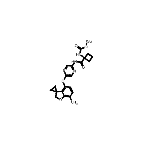 Cc1ccc(Oc2cnc(NC(=O)C3(NC(=O)OC(C)(C)C)CCC3)cn2)c2c1OCC21CC1